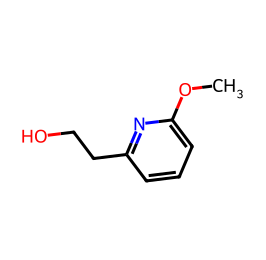 COc1cccc(CCO)n1